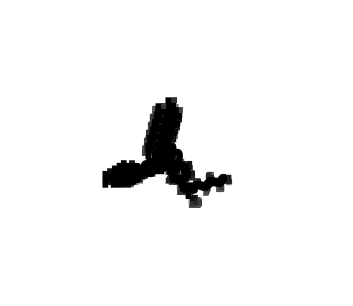 Br.Br.Br.Br.CCCCCP(C)Cc1ccc(OS(=O)(=O)C(F)(F)C(F)(F)C(F)(F)C(F)(F)C(F)(F)C(F)(F)F)cc1.N.O